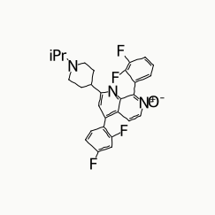 CC(C)N1CCC(c2cc(-c3ccc(F)cc3F)c3cc[n+]([O-])c(-c4cccc(F)c4F)c3n2)CC1